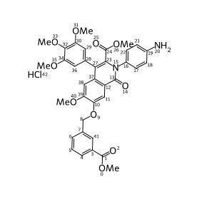 COC(=O)c1cccc(COc2cc3c(=O)n(-c4ccc(N)cc4)c(C(=O)OC)c(-c4cc(OC)c(OC)c(OC)c4)c3cc2OC)c1.Cl